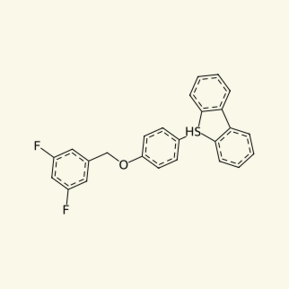 Fc1cc(F)cc(COc2ccc([SH]3c4ccccc4-c4ccccc43)cc2)c1